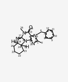 Cc1nc2c(n1Cc1ccccc1)C(=O)N(C)C1=N[C@H]3CCCC[C@H]3N12